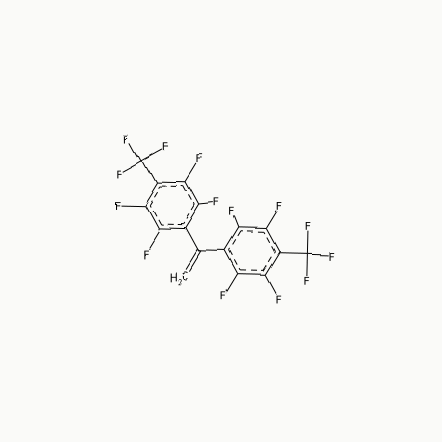 C=C(c1c(F)c(F)c(C(F)(F)F)c(F)c1F)c1c(F)c(F)c(C(F)(F)F)c(F)c1F